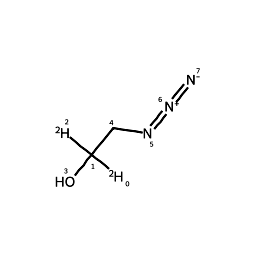 [2H]C([2H])(O)CN=[N+]=[N-]